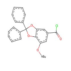 CCCCOc1cc(C(=O)Cl)cc2c1OC(c1ccccc1)(c1ccccc1)O2